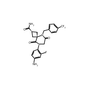 Nc1ccc(N2CC(=O)N(Cc3ccc(C(F)(F)F)cc3)[C@]3(C[C@H](C(N)=O)C3)C2=O)c(F)c1